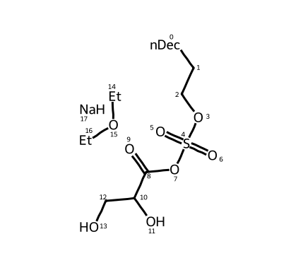 CCCCCCCCCCCCOS(=O)(=O)OC(=O)C(O)CO.CCOCC.[NaH]